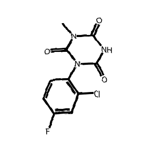 Cn1c(=O)[nH]c(=O)n(-c2ccc(F)cc2Cl)c1=O